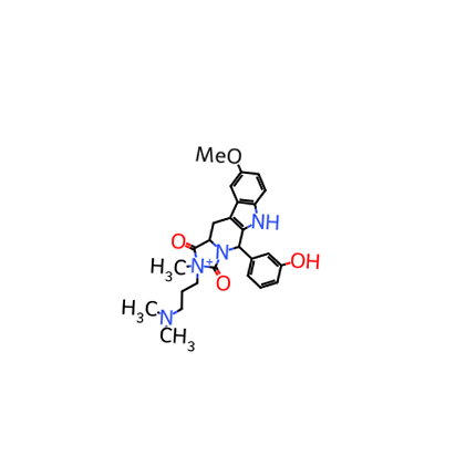 COc1ccc2[nH]c3c(c2c1)CC1C(=O)[N+](C)(CCCN(C)C)C(=O)N1C3c1cccc(O)c1